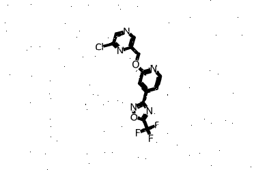 FC(F)(F)c1nc(-c2ccnc(OCc3cncc(Cl)n3)c2)no1